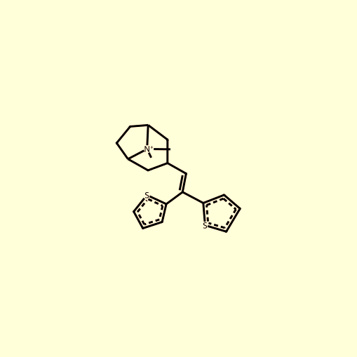 C[N+]1(C)C2CCC1CC(C=C(c1cccs1)c1cccs1)C2